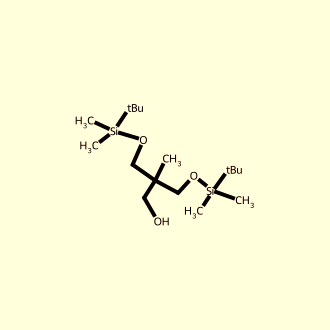 CC(CO)(CO[Si](C)(C)C(C)(C)C)CO[Si](C)(C)C(C)(C)C